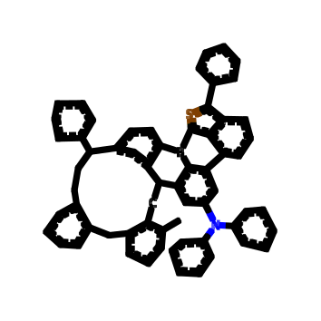 Cc1cccc2c1CC1c3cc(ccc3B3c4c(cc(N(c5ccccc5)c5ccccc5)cc41)-c1cccc4c(-c5ccccc5)sc3c14)C(c1ccccc1)CCc1ccccc1C2